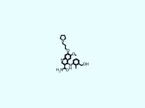 COc1cc2c(Nc3cccc(CO)c3C)c(C(N)=O)cnc2cc1OCCCN1CCCC1